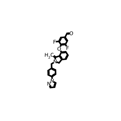 C=C1c2c(cccc2Oc2c(F)cc(C=O)cc2F)CN1Cc1ccc(-n2cccn2)cc1